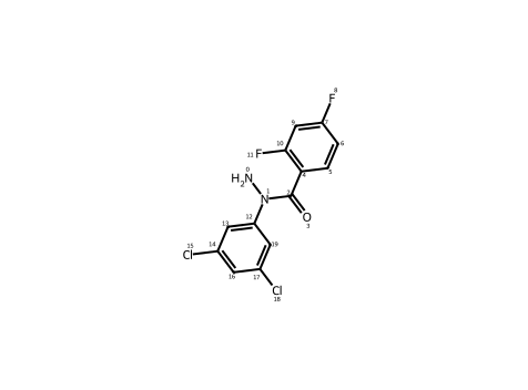 NN(C(=O)c1ccc(F)cc1F)c1cc(Cl)cc(Cl)c1